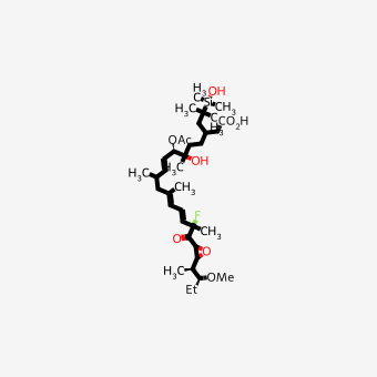 CC[C@H](OC)[C@@H](C)C1OC1C(=O)C(C)(F)/C=C/C=C(\C)CC(C)/C=C/[C@H](OC(C)=O)C(C)(O)CCC(CC(=O)O)CC(C)(C)[Si](C)(C)O